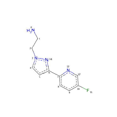 NCCn1ccc(-c2ccc(F)cn2)n1